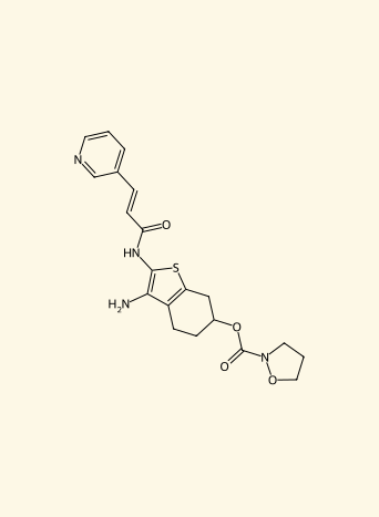 Nc1c(NC(=O)/C=C/c2cccnc2)sc2c1CCC(OC(=O)N1CCCO1)C2